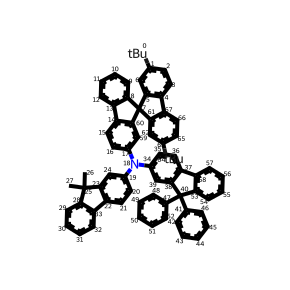 CC(C)(C)c1ccc2c(c1)C1(c3ccccc3-c3ccc(N(c4ccc5c(c4)C(C)(C)c4ccccc4-5)c4ccc5c(c4)C(c4ccccc4)(c4ccccc4)c4ccccc4-5)cc31)c1cc(C(C)(C)C)ccc1-2